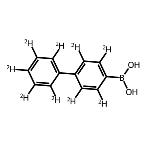 [2H]c1c([2H])c([2H])c(-c2c([2H])c([2H])c(B(O)O)c([2H])c2[2H])c([2H])c1[2H]